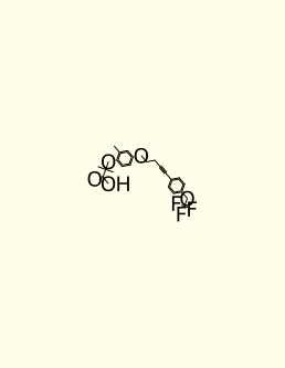 Cc1cc(OCCC#Cc2ccc(OC(F)(F)F)cc2)ccc1OC(C)(C)C(=O)O